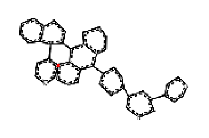 c1ccc2c(-c3ccncc3)c(-c3c4ccccc4c(-c4ccc(-c5cncc(-c6ccncc6)c5)cc4)c4ccccc34)ccc2c1